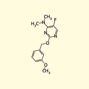 COc1cccc(COc2ncc(F)c(N(C)C)n2)c1